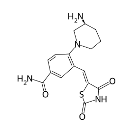 NC(=O)c1ccc(N2CCC[C@H](N)C2)c(/C=C2\SC(=O)NC2=O)c1